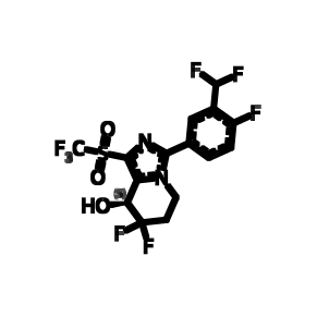 O=S(=O)(c1nc(-c2ccc(F)c(C(F)F)c2)n2c1[C@H](O)C(F)(F)CC2)C(F)(F)F